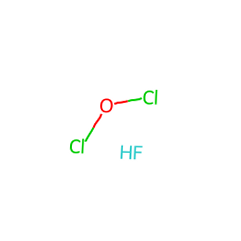 ClOCl.F